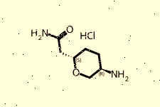 Cl.NC(=O)C[C@@H]1CC[C@@H](N)CO1